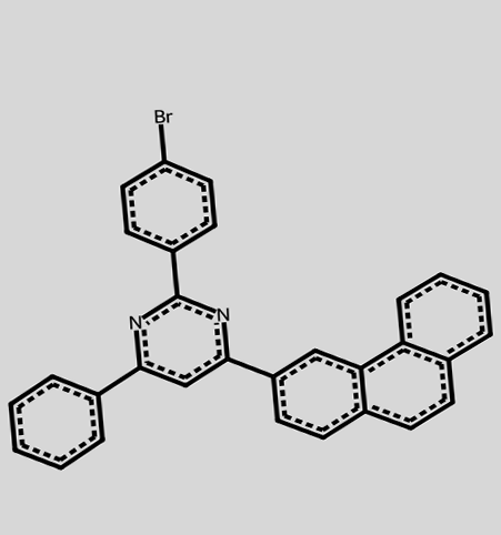 Brc1ccc(-c2nc(-c3ccccc3)cc(-c3ccc4ccc5ccccc5c4c3)n2)cc1